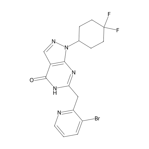 O=c1[nH]c(Cc2ncccc2Br)nc2c1cnn2C1CCC(F)(F)CC1